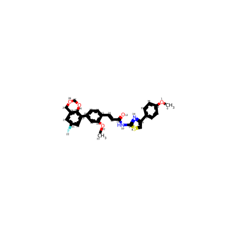 COc1ccc(-c2csc(NC(=O)C=Cc3ccc(-c4cc(F)cc5c4OCOC5)cc3OC)n2)cc1